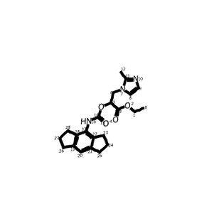 CCOC(=O)C(Cn1ccnc1C)OC(=O)Nc1c2c(cc3c1CCC3)CCC2